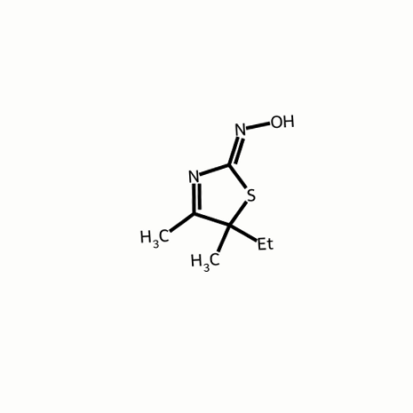 CCC1(C)SC(=NO)N=C1C